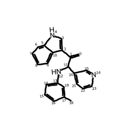 C=C(c1c[nH]c2ccccc12)C(Nc1cccc(C)c1)c1cccnc1